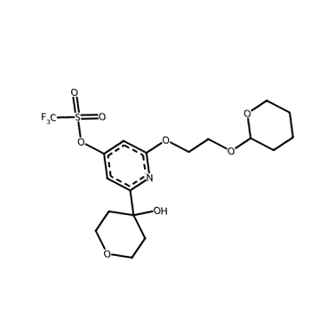 O=S(=O)(Oc1cc(OCCOC2CCCCO2)nc(C2(O)CCOCC2)c1)C(F)(F)F